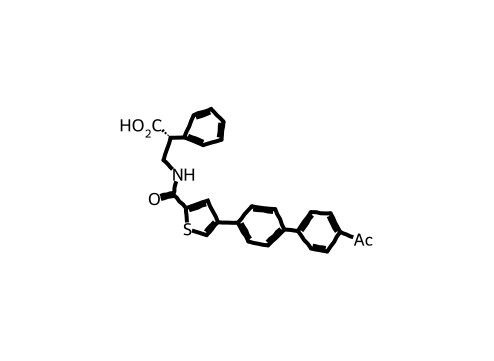 CC(=O)c1ccc(-c2ccc(-c3csc(C(=O)NC[C@H](C(=O)O)c4ccccc4)c3)cc2)cc1